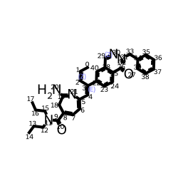 C/C=C\C(=C/C1=CC=C(C(=O)N(CCC)CCC)CC(N)=N1)c1ccc(C=O)c(/C=N\N(C)Cc2ccccc2)c1